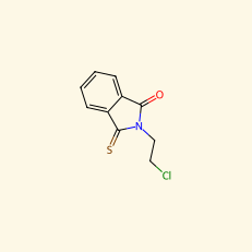 O=C1c2ccccc2C(=S)N1CCCl